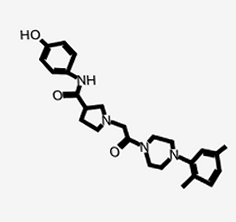 Cc1ccc(C)c(N2CCN(C(=O)CN3CCC(C(=O)Nc4ccc(O)cc4)C3)CC2)c1